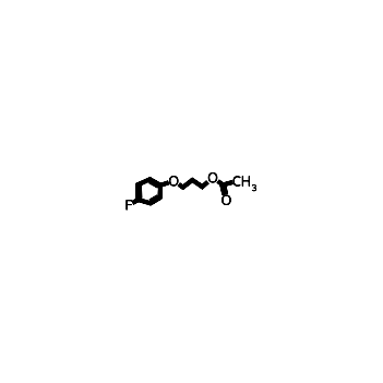 CC(=O)OCCCOc1ccc(F)cc1